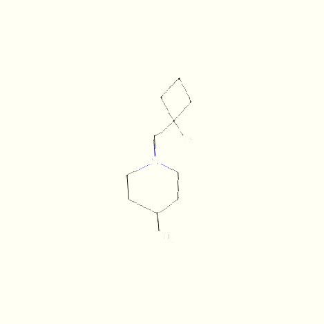 [CH2]C1CCN(CC2(C(F)(F)F)CCC2)CC1